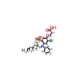 CCCCC1(CC)CN(c2ccccc2)c2cc(Br)c(O/C=C\C(=O)O)cc2S(=O)(=O)C1